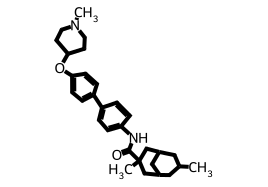 CC1CC2CC(C1)CC(C)(C(=O)Nc1ccc(-c3ccc(OC4CCN(C)CC4)cc3)cc1)C2